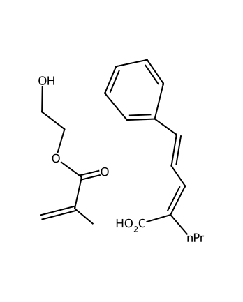 C=C(C)C(=O)OCCO.CCCC(=CC=Cc1ccccc1)C(=O)O